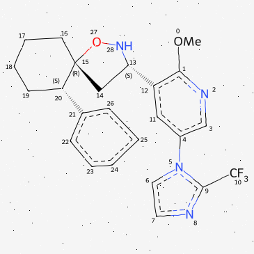 COc1ncc(-n2ccnc2C(F)(F)F)cc1[C@@H]1C[C@@]2(CCCC[C@H]2c2ccccc2)ON1